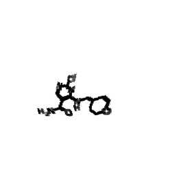 NC(=O)c1cnc(Cl)nc1NCC1CCOCC1